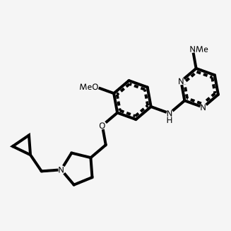 CNc1ccnc(Nc2ccc(OC)c(OCC3CCN(CC4CC4)C3)c2)n1